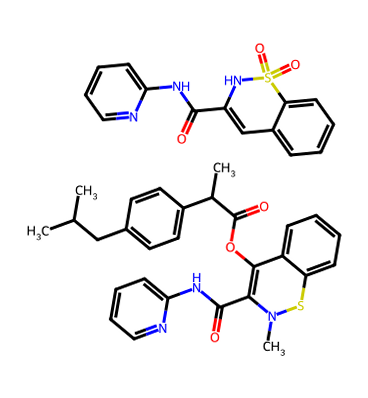 CC(C)Cc1ccc(C(C)C(=O)OC2=C(C(=O)Nc3ccccn3)N(C)Sc3ccccc32)cc1.O=C(Nc1ccccn1)C1=Cc2ccccc2S(=O)(=O)N1